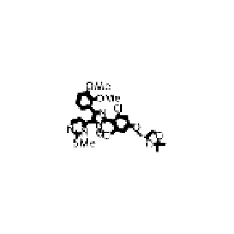 COc1cccc(-c2nc(-c3c(Cl)cc(OC[C@@H]4COC(C)(C)O4)cc3Cl)n(O)c2-c2ccnc(SC)n2)c1OC